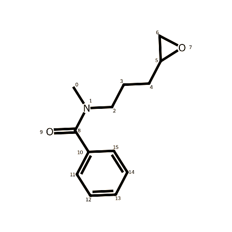 CN(CCCC1CO1)C(=O)c1ccccc1